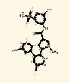 Cn1cc(C(=O)Nc2cc(Cl)cc(S(C)(=O)=O)c2)cc1-c1ncc(F)cc1-c1cncc(F)c1